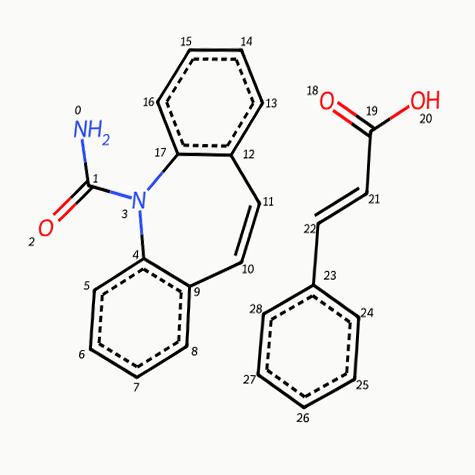 NC(=O)N1c2ccccc2C=Cc2ccccc21.O=C(O)/C=C/c1ccccc1